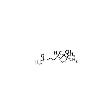 CC(=O)CCCC[C@@H]1SCC(C)(C)C1(C)C